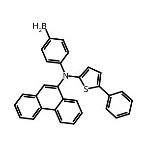 Bc1ccc(N(c2ccc(-c3ccccc3)s2)c2cc3ccccc3c3ccccc23)cc1